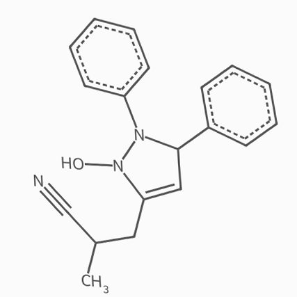 CC(C#N)CC1=CC(c2ccccc2)N(c2ccccc2)N1O